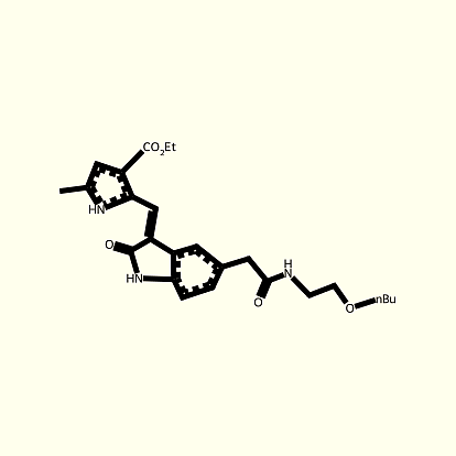 CCCCOCCNC(=O)Cc1ccc2c(c1)/C(=C/c1[nH]c(C)cc1C(=O)OCC)C(=O)N2